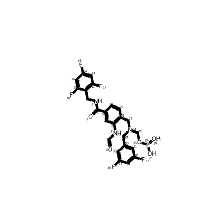 O=CNc1cc(C(=O)NCc2c(F)cc(F)cc2F)ccc1CN(COP(O)O)Cc1cc(F)cc(F)c1